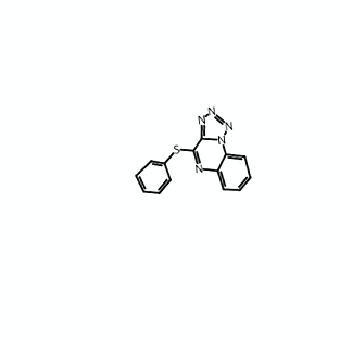 c1ccc(Sc2nc3ccccc3n3nnnc23)cc1